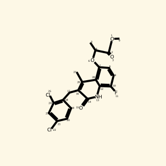 COC(=O)C(C)Oc1ccc(F)c2[nH]c(=O)c(Cc3ccc(Cl)cc3Cl)c(C)c12